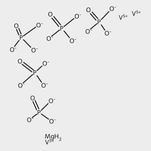 O=P([O-])([O-])[O-].O=P([O-])([O-])[O-].O=P([O-])([O-])[O-].O=P([O-])([O-])[O-].O=P([O-])([O-])[O-].[MgH2].[V+5].[V+5].[V+5]